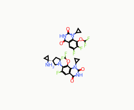 NC1([C@@H]2CCN(c3c(F)cc4c(=O)[nH]c(=O)n(C5CC5)c4c3OC(F)F)C2)CC1.O=c1[nH]c(=O)n(C2CC2)c2c(OC(F)F)c(F)c(F)cc12